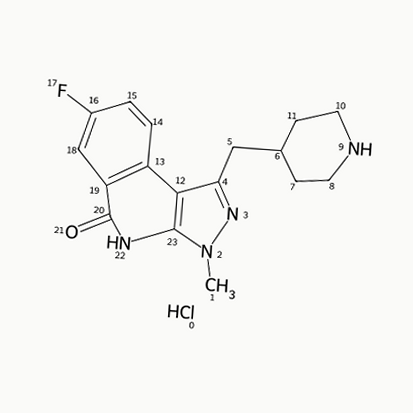 Cl.Cn1nc(CC2CCNCC2)c2c3ccc(F)cc3c(=O)[nH]c21